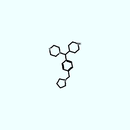 c1cc(C(C2CCNCC2)N2CCSCC2)ccc1CN1CCCC1